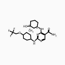 C[C@]1(O)CCC[C@@H](Nc2nc(NC3CCC(OCC(F)(F)F)CC3)ncc2C(N)=O)C1